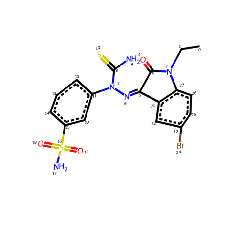 CCN1C(=O)/C(=N\N(C(N)=S)c2cccc(S(N)(=O)=O)c2)c2cc(Br)ccc21